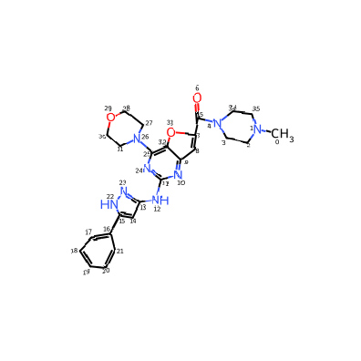 CN1CCN(C(=O)c2cc3nc(Nc4cc(-c5ccccc5)[nH]n4)nc(N4CCOCC4)c3o2)CC1